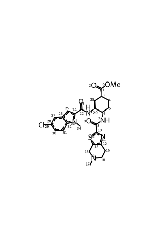 COC(=O)[C@H]1CC[C@@H](NC(=O)c2nc3c(s2)CN(C)CC3)[C@@H](NC(=O)c2cc3cc(Cl)ccc3n2C)C1